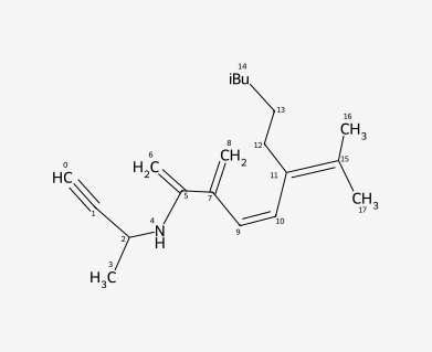 C#CC(C)NC(=C)C(=C)/C=C\C(CCC(C)CC)=C(C)C